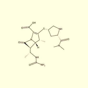 C[C@@H](NC(N)=O)[C@H]1C(=O)N2C(C(=O)O)=C(S[C@@H]3CN[C@H](C(=O)N(C)C)C3)[C@H](C)[C@H]12